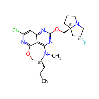 CN1c2nc(OC[C@@]34CCCN3C[C@H](F)C4)nc3cc(Cl)nc(c23)OC[C@@H]1CCC#N